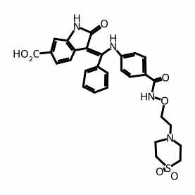 O=C1Nc2cc(C(=O)O)ccc2/C1=C(/Nc1ccc(C(=O)NOCCN2CCS(=O)(=O)CC2)cc1)c1ccccc1